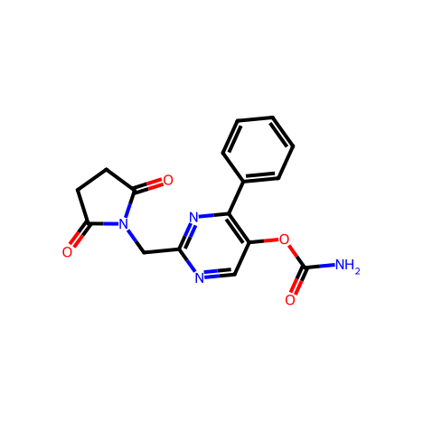 NC(=O)Oc1cnc(CN2C(=O)CCC2=O)nc1-c1ccccc1